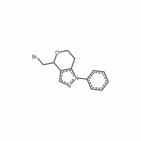 BrCC1OCCc2c1cnn2-c1ccccc1